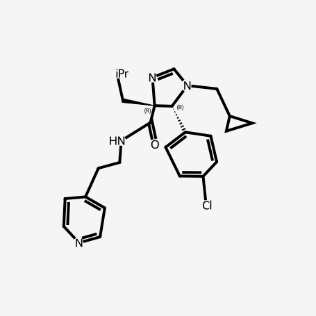 CC(C)C[C@@]1(C(=O)NCCc2ccncc2)N=CN(CC2CC2)[C@@H]1c1ccc(Cl)cc1